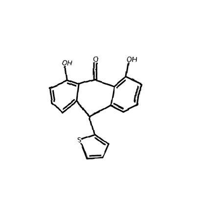 O=C1c2c(O)cccc2C(c2cccs2)c2cccc(O)c21